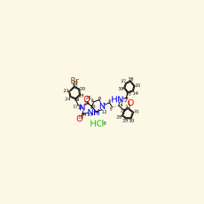 Cl.O=C(N[C@@H](CCN1CCC2(CC1)NC(=O)N(Cc1ccc(Br)cc1)C2=O)c1ccccc1)c1ccccc1